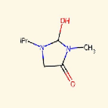 CC(C)N1CC(=O)N(C)C1O